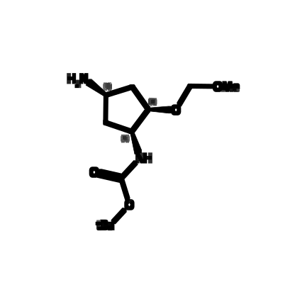 COCO[C@@H]1C[C@H](N)C[C@@H]1NC(=O)OC(C)(C)C